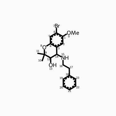 COc1cc2c(cc1Br)OC(C)(C)C(O)C2NCCc1ccccc1